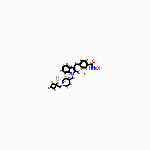 Cc1c(Cc2ccc(C(=O)NO)cc2)c2ccccc2n1CC1CCN(CC2(C)CCC2)CC1